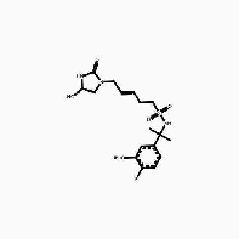 CC(C)COc1cc(C(C)(C)NS(=O)(=O)CC/C=C/CN2CC(O)NC2=O)ccc1F